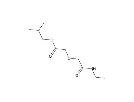 CCNC(=O)COCC(=O)OCC(C)C